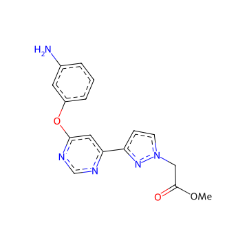 COC(=O)Cn1ccc(-c2cc(Oc3cccc(N)c3)ncn2)n1